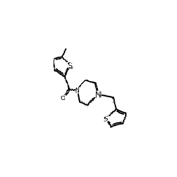 Cc1ccc(C(=O)N2CCN(Cc3cccs3)CC2)s1